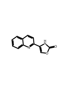 O=c1[nH]c(-c2ccc3ccccc3n2)co1